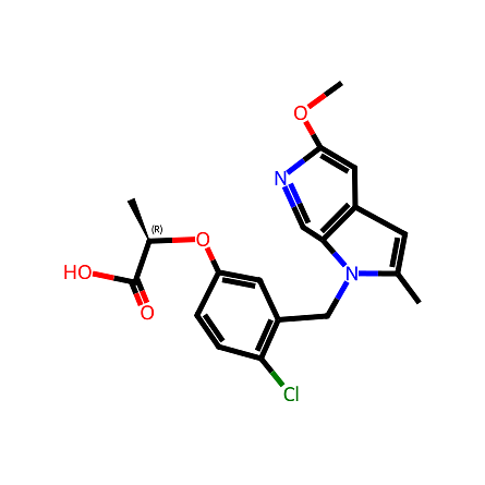 COc1cc2cc(C)n(Cc3cc(O[C@H](C)C(=O)O)ccc3Cl)c2cn1